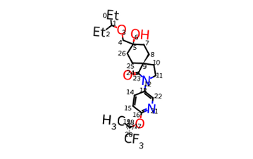 CCC(CC)OC[C@]1(O)CC[C@]2(CCN(c3ccc(O[C@@H](C)C(F)(F)F)nc3)C2=O)CC1